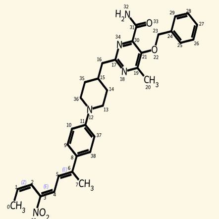 C\C=C/C(=C\C=C(/C)c1ccc(N2CCC(Cc3nc(C)c(OCc4ccccc4)c(C(N)=O)n3)CC2)cc1)[N+](=O)[O-]